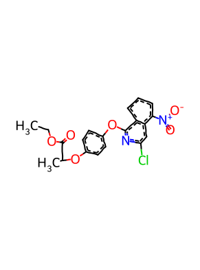 CCOC(=O)C(C)Oc1ccc(Oc2nc(Cl)cc3c([N+](=O)[O-])cccc23)cc1